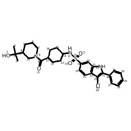 CC(C)(O)C1CCCN(C(=O)C2CCC(NS(=O)(=O)c3ccc4c(Cl)c(-c5ccccc5)[nH]c4c3)CC2)C1